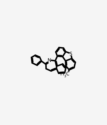 Cc1ccc2sc3cccc(C4=c5ccccc5=CCC(c5ccccc5)=N4)c3c2c1